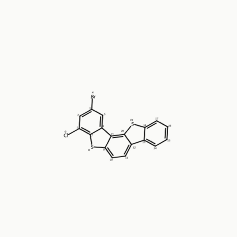 Clc1cc(Br)cc2c1sc1ccc3c4ccccc4sc3c12